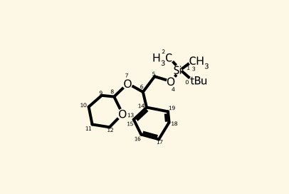 CC(C)(C)[Si](C)(C)OCC(OC1CCCCO1)c1ccccc1